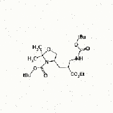 CCOC(=O)C(CNC(=O)OC(C)(C)C)CC1COC(C)(C)N1C(=O)OC(C)(C)C